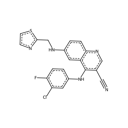 N#Cc1cnc2ccc(NCc3nccs3)cc2c1Nc1ccc(F)c(Cl)c1